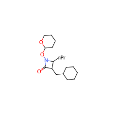 CCCC1C(CC2CCCCC2)C(=O)N1OC1CCCCO1